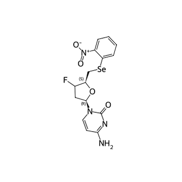 Nc1ccn([C@H]2CC(F)[C@@H](C[Se]c3ccccc3[N+](=O)[O-])O2)c(=O)n1